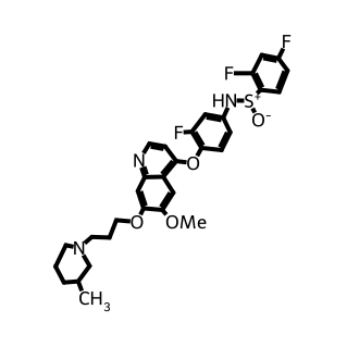 COc1cc2c(Oc3ccc(N[S+]([O-])c4ccc(F)cc4F)cc3F)ccnc2cc1OCCCN1CCCC(C)C1